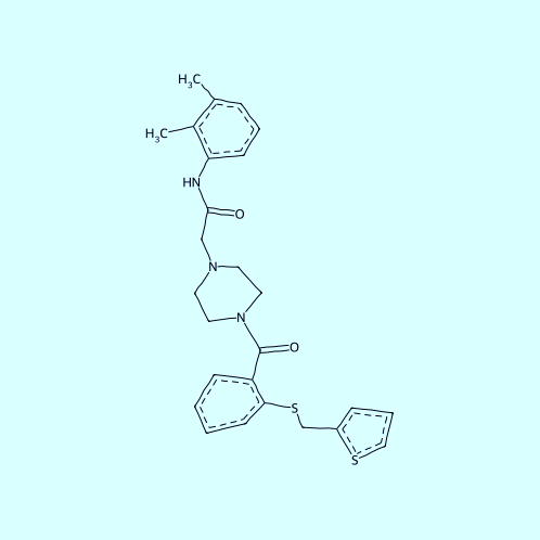 Cc1cccc(NC(=O)CN2CCN(C(=O)c3ccccc3SCc3cccs3)CC2)c1C